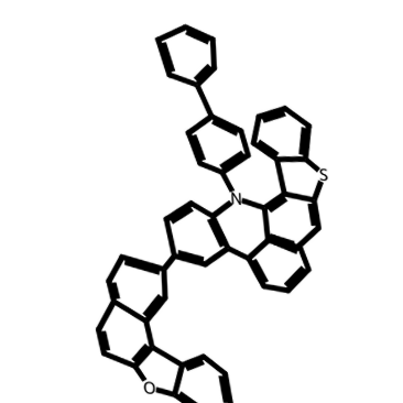 c1ccc(-c2ccc(N(c3ccc(-c4ccc5ccc6oc7ccccc7c6c5c4)cc3-c3ccccc3)c3cccc4sc5ccccc5c34)cc2)cc1